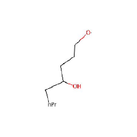 CCCCC(O)CCC[O]